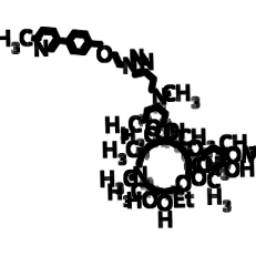 CC[C@H]1OC(=O)[C@H](C)[C@@H](O[C@H]2C[C@@](C)(OC)[C@@H](O)[C@H](C)O2)[C@H](C)[C@@H](O[C@H]2C[C@@H](N(C)CCc3cn(CCOCc4ccc(-c5ccc(C)nc5)cc4)nn3)C[C@@H](C)O2)[C@](C)(O)C[C@@H](C)CN(C)[C@H](C)[C@@H](O)[C@@H]1O